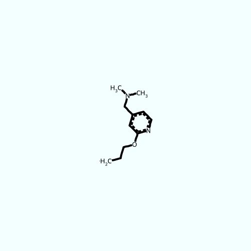 [CH2]CCOc1cc(CN(C)C)ccn1